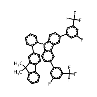 CC1(C)c2ccccc2-c2ccc(-c3ccccc3-n3c4ccc(-c5cc(F)cc(C(F)(F)F)c5)cc4c4cc(-c5cc(F)cc(C(F)(F)F)c5)ccc43)cc21